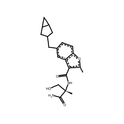 Cc1oc2ccc(CC3CC4CC4C3)cc2c1C(=O)N[C@@](C)(CO)C(N)=O